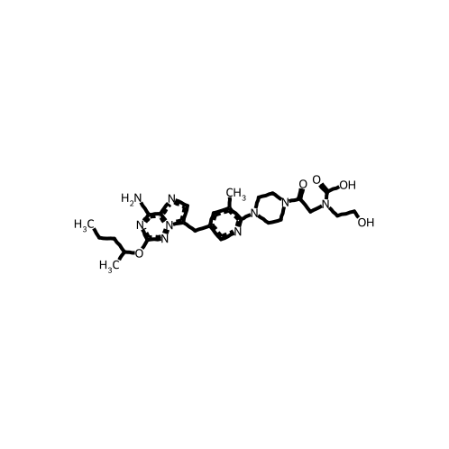 CCCC(C)Oc1nc(N)c2ncc(Cc3cnc(N4CCN(C(=O)CN(CCO)C(=O)O)CC4)c(C)c3)n2n1